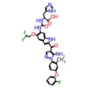 Cc1cc(Oc2ccccc2F)ccc1-n1ncc(C(=O)c2cc3cc(OCC(F)F)c(NC(=O)NC(Cc4cnc[nH]4)C(=O)O)cc3[nH]2)c1N